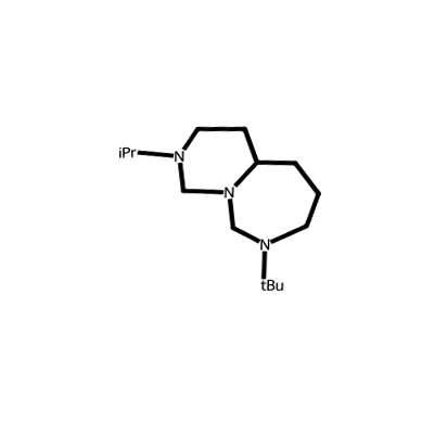 CC(C)N1CCC2CCCN(C(C)(C)C)CN2C1